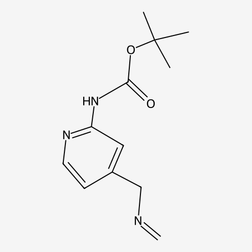 C=NCc1ccnc(NC(=O)OC(C)(C)C)c1